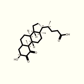 C[C@H](CCC(=O)O)[C@H]1CC[C@H]2[C@@H]3CCC4C[C@H](O)C(=O)C(=O)[C@]4(C)[C@H]3CC[C@]12C